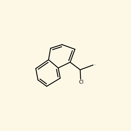 [CH2]C(Cl)c1cccc2ccccc12